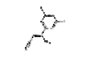 N#CC=C(N)c1cc(F)cc(F)c1